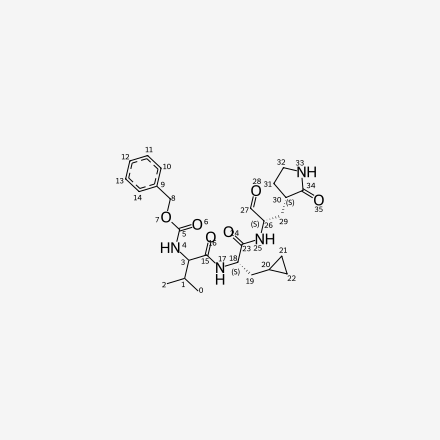 CC(C)C(NC(=O)OCc1ccccc1)C(=O)N[C@@H](CC1CC1)C(=O)N[C@H](C=O)C[C@@H]1CCNC1=O